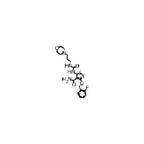 NC(=O)c1c(OCc2ccccc2F)nsc1NC(=O)NCCCN1CCOCC1